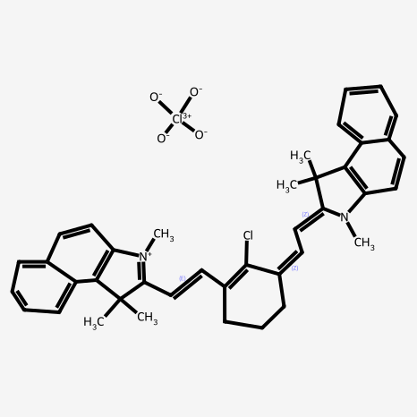 CN1/C(=C\C=C2\CCCC(/C=C/C3=[N+](C)c4ccc5ccccc5c4C3(C)C)=C2Cl)C(C)(C)c2c1ccc1ccccc21.[O-][Cl+3]([O-])([O-])[O-]